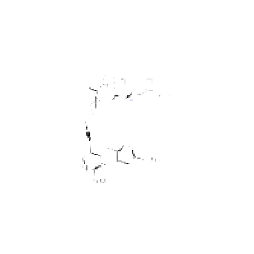 CNc1ncc(C#CCCCNC(=O)[C@H](C)N(C)C(=O)/C=C/CN(C)C)c(Nc2ccc(OC)cc2)n1